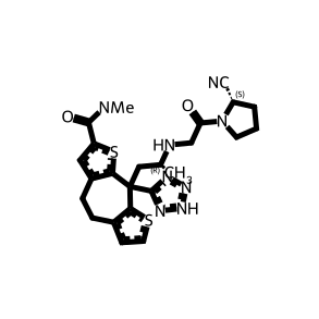 CNC(=O)c1cc2c(s1)C(C[C@@H](C)NCC(=O)N1CCC[C@H]1C#N)(c1nn[nH]n1)c1sccc1CC2